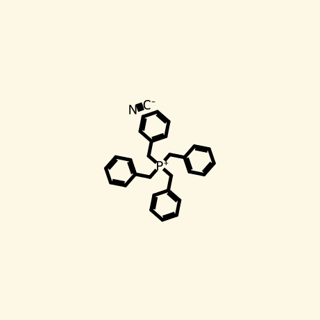 [C-]#N.c1ccc(C[P+](Cc2ccccc2)(Cc2ccccc2)Cc2ccccc2)cc1